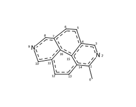 Cc1ncc2ccc3cncc4ccc1c2c34